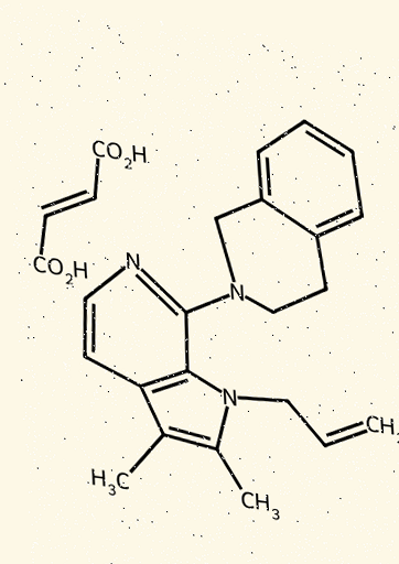 C=CCn1c(C)c(C)c2ccnc(N3CCc4ccccc4C3)c21.O=C(O)C=CC(=O)O